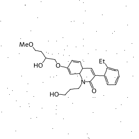 CCc1ccccc1C1=CC2C=CC(OCC(O)CCOC)=CC2N(CCCO)C1=O